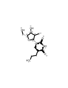 CCCc1cn([C@@H]2O[C@H](CO)[C@@H](O)C2I)c(=O)[nH]c1=O